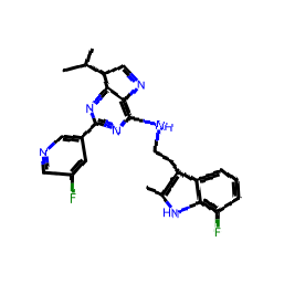 Cc1[nH]c2c(F)cccc2c1CCNc1nc(-c2cncc(F)c2)nc2c1N=CC2C(C)C